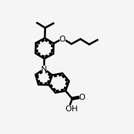 CCCCOc1cc(-n2ccc3cc(C(=O)O)ccc32)ccc1C(C)C